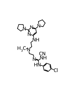 CN(CCN=C(NC#N)Nc1ccc(Cl)cc1)CCNc1cc(N2CCCC2)nc(N2CCCC2)n1